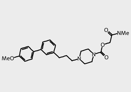 CNC(=O)COC(=O)N1CCN(CCCc2cccc(-c3ccc(OC)cc3)c2)CC1